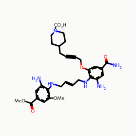 COC(=O)c1cc(N)c(NCC=CCNc2c(N)cc(C(N)=O)cc2OCC#CCC2CCN(C(=O)O)CC2)c(OC)c1